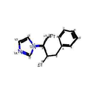 CCC(Cc1ccccc1)C(C(C)C)n1ccnc1